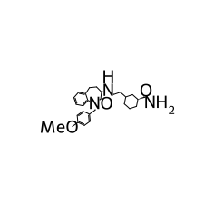 COc1ccc(CN2C(=O)[C@@H](NCCC3CCC[C@H](C(N)=O)C3)CCc3ccccc32)cc1